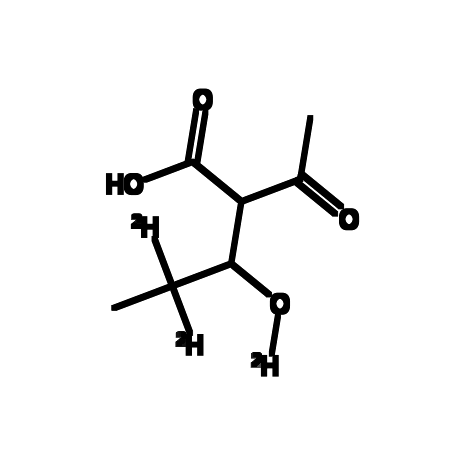 [2H]OC(C(C(C)=O)C(=O)O)C([2H])([2H])C